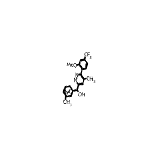 COc1cc(C(F)(F)F)ccc1-c1nnc(C(O)C23CCC(CC2)N(C)C3)cc1C